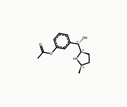 CC(=O)Oc1cccc([C@H](O)[C@H]2CC[C@@H](C)N2)c1